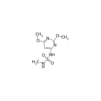 CNS(=O)(=O)Nc1cc(OC)nc(OC)n1